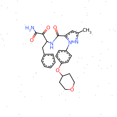 Cc1cc(C(=O)NC(Cc2ccccc2)C(=O)C(N)=O)n(-c2ccc(OC3CCOCC3)cc2)n1